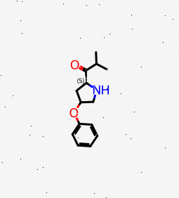 CC(C)C(=O)[C@@H]1CC(Oc2ccccc2)CN1